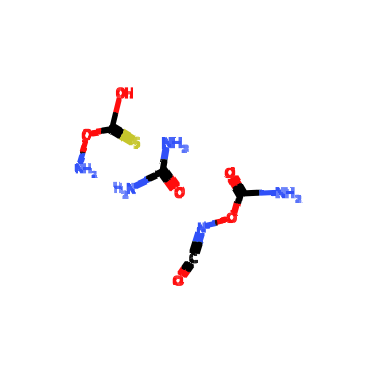 NC(=O)ON=C=O.NC(N)=O.NOC(O)=S